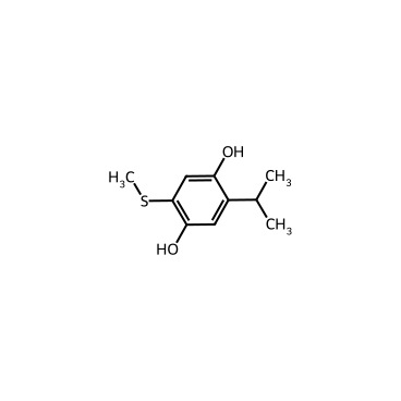 CSc1cc(O)c(C(C)C)cc1O